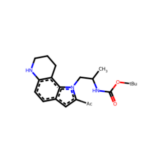 CC(=O)c1cc2ccc3c(c2n1CC(C)NC(=O)OC(C)(C)C)CCCN3